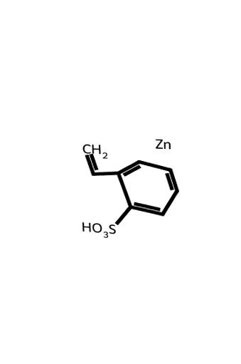 C=Cc1ccccc1S(=O)(=O)O.[Zn]